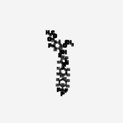 COC(=O)c1cc(OC)c(NSc2cnn(-c3ccc(C4CCC(C(F)(F)F)CC4)cc3)c2)cc1F